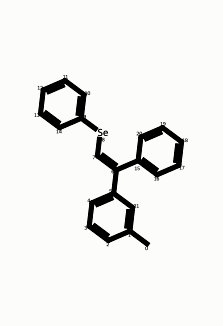 Cc1cccc(C(=C[Se]c2ccccc2)c2ccccc2)c1